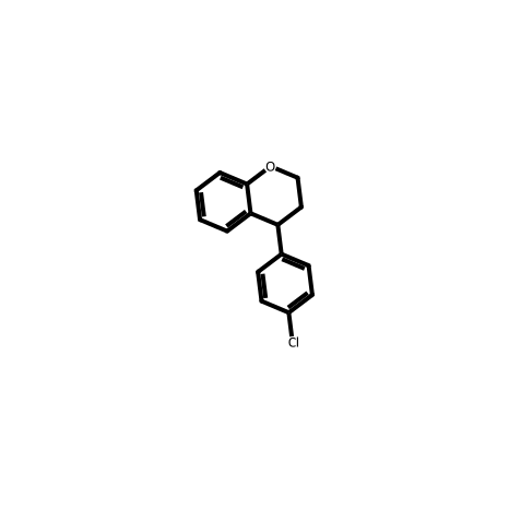 Clc1ccc(C2CCOc3ccccc32)cc1